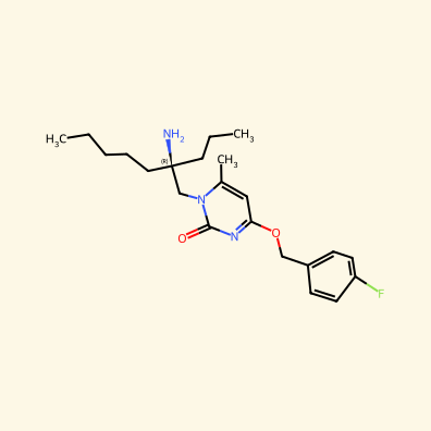 CCCCC[C@](N)(CCC)Cn1c(C)cc(OCc2ccc(F)cc2)nc1=O